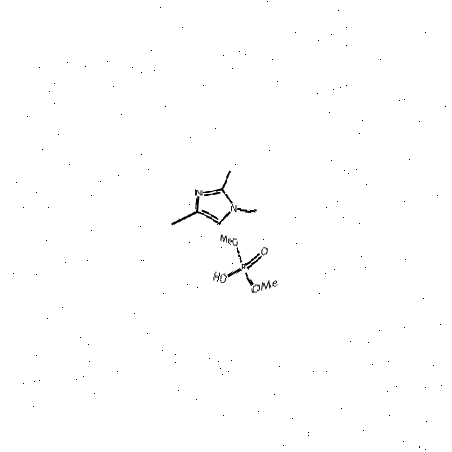 COP(=O)(O)OC.Cc1cn(C)c(C)n1